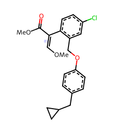 CO/C=C(/C(=O)OC)c1ccc(Cl)cc1COc1ccc(CC2CC2)cc1